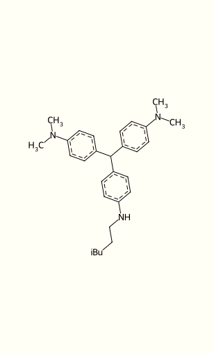 CCC(C)CCNc1ccc(C(c2ccc(N(C)C)cc2)c2ccc(N(C)C)cc2)cc1